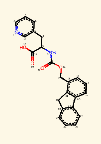 O=C(NC(Cc1cccnc1)C(=O)O)OCc1cccc2c1Cc1ccccc1-2